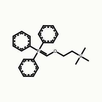 C[Si](C)(C)CCOC=P(c1ccccc1)(c1ccccc1)c1ccccc1